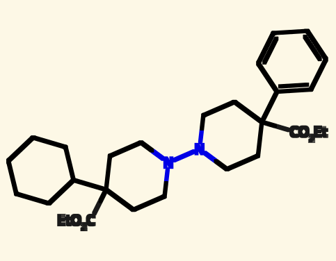 CCOC(=O)C1(c2ccccc2)CCN(N2CCC(C(=O)OCC)(C3CCCCC3)CC2)CC1